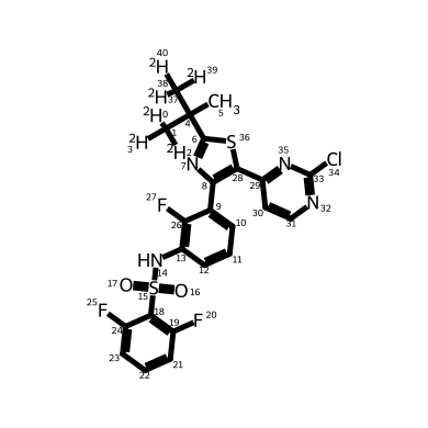 [2H]C([2H])([2H])C(C)(c1nc(-c2cccc(NS(=O)(=O)c3c(F)cccc3F)c2F)c(-c2ccnc(Cl)n2)s1)C([2H])([2H])[2H]